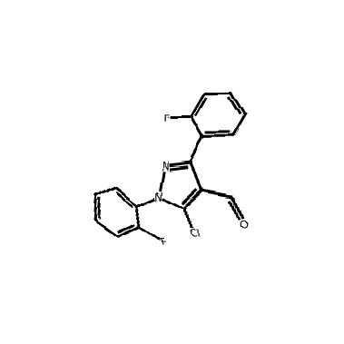 O=Cc1c(-c2ccccc2F)nn(-c2ccccc2F)c1Cl